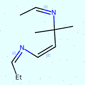 C/C=N\C(C)(C)/C=C\N=C/CC